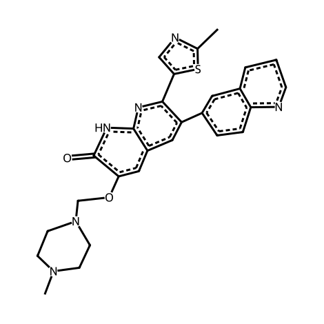 Cc1ncc(-c2nc3[nH]c(=O)c(OCN4CCN(C)CC4)cc3cc2-c2ccc3ncccc3c2)s1